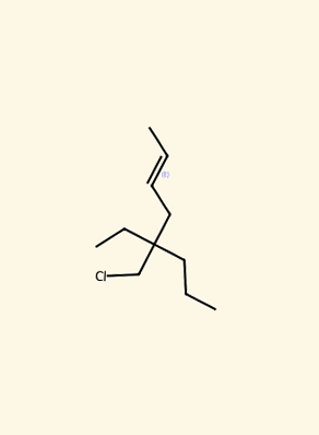 C/C=C/CC(CC)(CCl)CCC